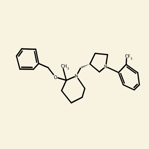 CC1(OCc2ccccc2)CCCCN1C[C@@H]1CCN(c2ccccc2C(F)(F)F)C1